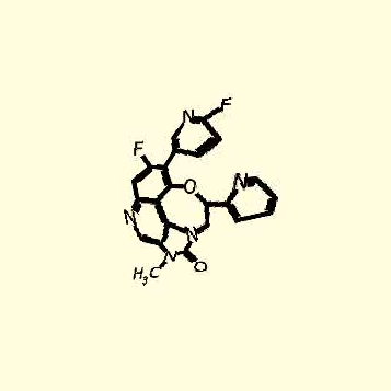 Cn1c(=O)n2c3c4c(c(-c5ccc(F)nc5)c(F)cc4ncc31)OC(c1ccccn1)C2